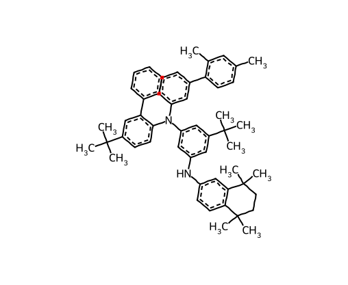 Cc1ccc(-c2cccc(N(c3cc(Nc4ccc5c(c4)C(C)(C)CCC5(C)C)cc(C(C)(C)C)c3)c3ccc(C(C)(C)C)cc3-c3ccccc3)c2)c(C)c1